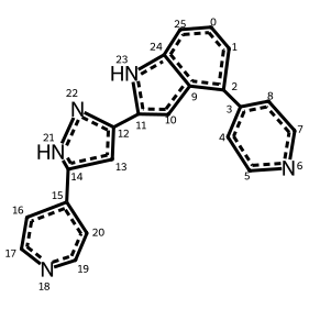 c1cc(-c2ccncc2)c2cc(-c3cc(-c4ccncc4)[nH]n3)[nH]c2c1